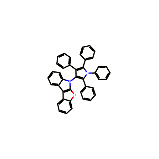 c1ccc(-c2c(-n3c4ccccc4c4c5ccccc5oc43)c(-c3ccccc3)n(-c3ccccc3)c2-c2ccccc2)cc1